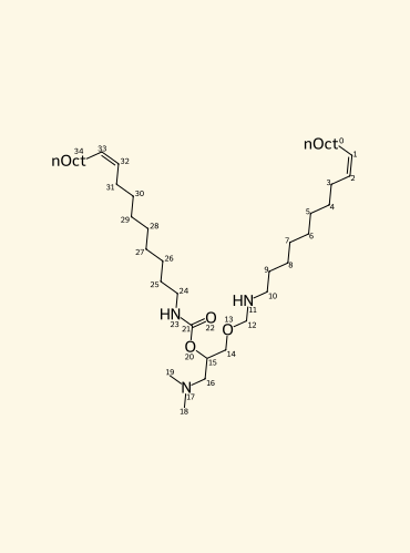 CCCCCCCC/C=C\CCCCCCCCNCOCC(CN(C)C)OC(=O)NCCCCCCCC/C=C\CCCCCCCC